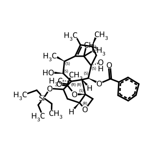 CC[Si](CC)(CC)OC1C[C@H]2OC[C@@]2(OC(C)=O)[C@H]2[C@H](OC(=O)c3ccccc3)[C@]3(O)C[C@H](C)C(C)=C([C@H](C)[C@H](O)[C@]12C)C3(C)C